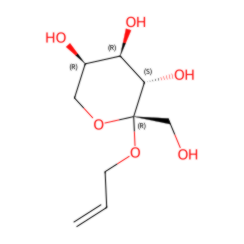 C=CCO[C@]1(CO)OC[C@@H](O)[C@@H](O)[C@@H]1O